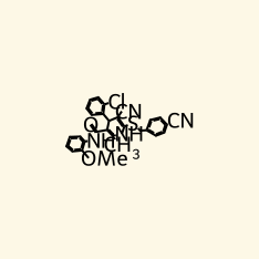 COc1ccccc1NC(=O)C1=C(C)NC(SCc2ccc(C#N)cc2)=C(C#N)C1c1ccccc1Cl